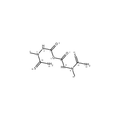 CN(NC(=O)OC(=O)NN(C)C(N)=S)C(N)=S